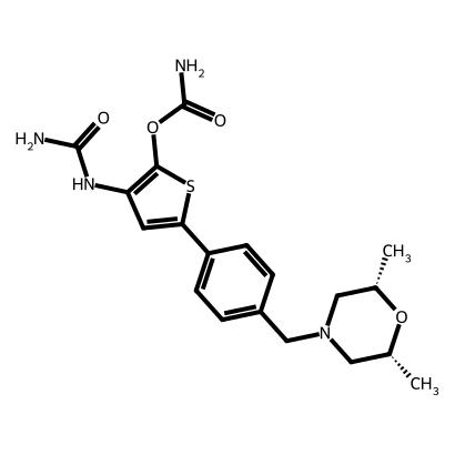 C[C@@H]1CN(Cc2ccc(-c3cc(NC(N)=O)c(OC(N)=O)s3)cc2)C[C@H](C)O1